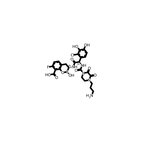 NCCCN1CCN(C(=O)N[C@@H](C(=O)N[C@H]2Cc3ccc(F)c(C(=O)O)c3OB2O)c2ccc(O)c(O)c2Cl)C(=O)C1=O